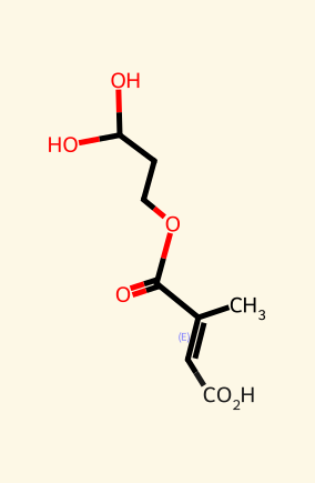 C/C(=C\C(=O)O)C(=O)OCCC(O)O